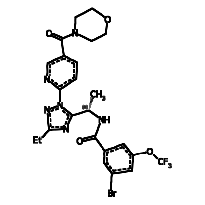 CCc1nc([C@H](C)NC(=O)c2cc(Br)cc(OC(F)(F)F)c2)n(-c2ccc(C(=O)N3CCOCC3)cn2)n1